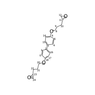 c1cc(-c2ccc(OCCCC3CO3)cc2)ccc1OCCCC1CO1